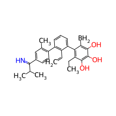 Bc1c(O)c(O)c(O)c(CC)c1-c1cccc(-c2ccc(C(=N)C(C)C)cc2C)c1C=C